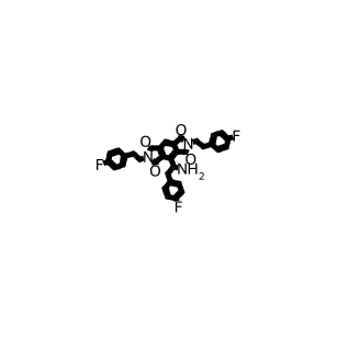 NC(Cc1ccc(F)cc1)c1c2c(=O)n(CCc3ccc(F)cc3)c(=O)c2cc2c(=O)n(CCc3ccc(F)cc3)c(=O)c12